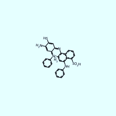 Cc1cc(Nc2ccccc2)c2c(S(=O)(=O)O)cccc2c1/N=C1/C=C(S)C(N)=C/C1=N\c1ccccc1